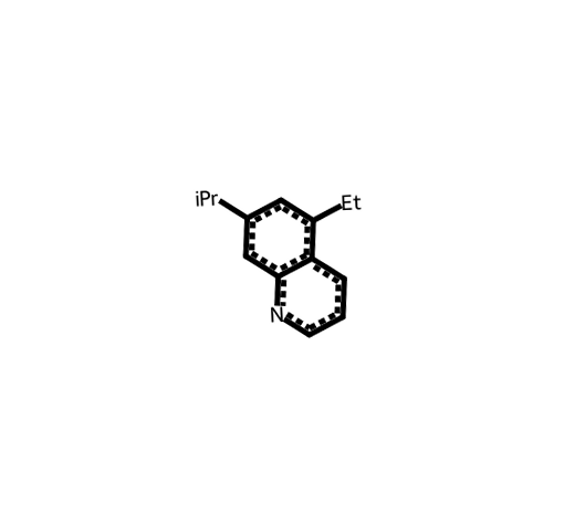 CCc1cc(C(C)C)cc2ncccc12